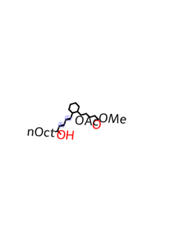 CCCCCCCCC(O)/C=C/C=C/C1CCCCC1C(CCCC(=O)OC)OC(C)=O